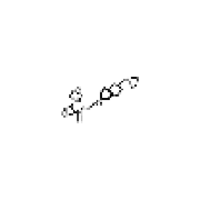 c1cc2c(cc1OCCCNC1COCC1N1CCOCC1)CCC(CN1CCCC1)C2